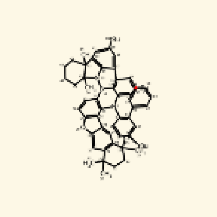 CC(C)(C)c1ccc(N2c3cc(C(C)(C)C)cc4c3B(c3ccc5oc6cc7c(cc6c5c32)C(C)(C)CCC7(C)C)N2c3c-4cc(C(C)(C)C)cc3C3(C)CCCCC23C)c(-c2ccccc2)c1